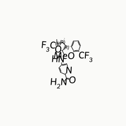 COc1c([C@@H]2C(CNc3ccc(C(N)=O)nc3)O[C@](C)(C(F)(F)F)[C@@H]2C)cccc1C(F)(F)F